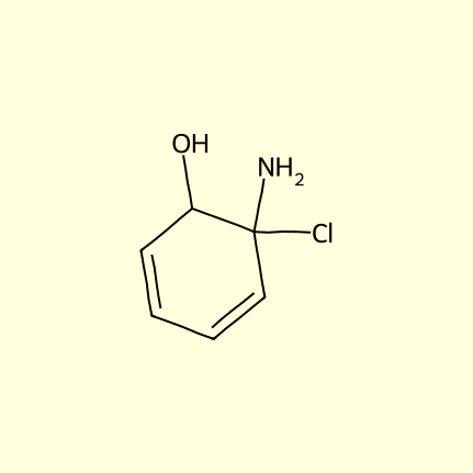 NC1(Cl)C=CC=CC1O